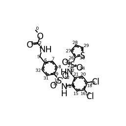 COC(=O)NCc1ccc(S(=O)(=O)Nc2cc(Cl)c(Cl)cc2NS(=O)(=O)c2cccs2)cc1